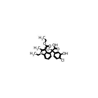 CCOC(=O)c1c(C)n(CC)c2cccc(C(C)(C(=O)O)c3ccc(Cl)c(O)c3)c12